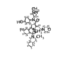 C[C@@H]1Cc2ccccc2CN1C(=O)c1ccc(F)cc1-c1cc(C(=O)N(c2ccc(O)cc2)c2cnn(C)c2)c(CCN2CCOCC2)n1C